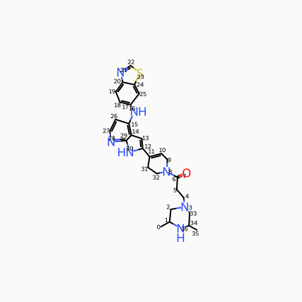 CC1CN(CCC(=O)N2CC=C(c3cc4c(Nc5ccc6ncsc6c5)ccnc4[nH]3)CC2)CC(C)N1